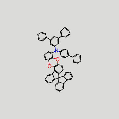 c1ccc(-c2ccc(N(c3cc(-c4ccccc4)cc(-c4ccccc4)c3)c3cccc4c3Oc3ccc5c(c3O4)-c3ccccc3C53c4ccccc4-c4ccccc43)cc2)cc1